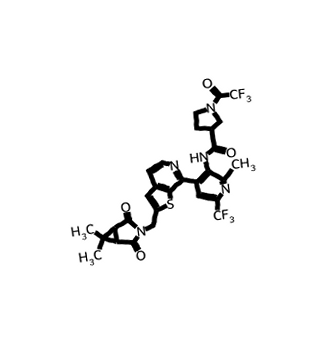 Cc1nc(C(F)(F)F)cc(-c2nccc3cc(CN4C(=O)C5C(C4=O)C5(C)C)sc23)c1NC(=O)C1CCN(C(=O)C(F)(F)F)C1